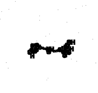 N=c1c2c(-c3ccccc3)c(-c3ccccc3)n(Cc3cccc(C#CCCCCC(=O)NCCCCCCNc4cccc5c4C(=O)N(C4CCC(=O)NC4=O)C5=O)c3)c2ncn1C1CCC(O)CC1